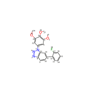 COc1cc(-n2nnc3ccc(-c4ccccc4F)cc32)cc(OC)c1OC